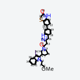 COCCCn1c(C2CCCN(C(=O)C[C@H](N)Cc3ccc(-c4ccc5c(c4)SCC(=O)N5)cc3)C2)c(I)c2ccccc21